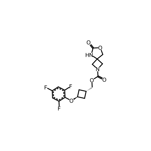 O=C1NC2(CO1)CN(C(=O)OC[C@H]1C[C@H](Oc3c(F)cc(F)cc3F)C1)C2